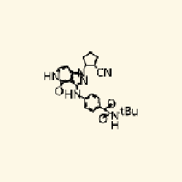 CC(C)(C)NS(=O)(=O)c1ccc(Nc2nn([C@H]3CCC[C@@H]3C#N)c3cc[nH]c(=O)c23)cc1